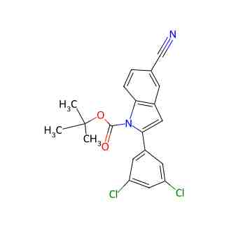 CC(C)(C)OC(=O)n1c(-c2cc(Cl)cc(Cl)c2)cc2cc(C#N)ccc21